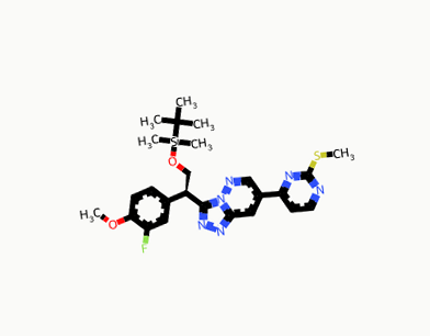 COc1ccc([C@@H](CO[Si](C)(C)C(C)(C)C)c2nnc3cc(-c4ccnc(SC)n4)cnn23)cc1F